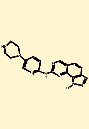 CCn1ncc2ccc3cnc(Nc4ccc(N5CCNCC5)cn4)nc3c21